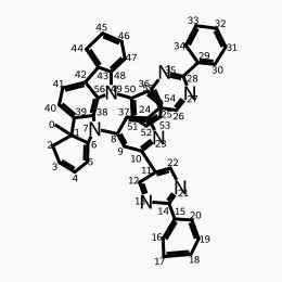 CC12CC=CC=C1N(c1cc(-c3cnc(-c4ccccc4)nc3)nc(-c3cnc(-c4ccccc4)nc3)c1)c1c2ccc2c3ccccc3n(-c3ccccc3)c12